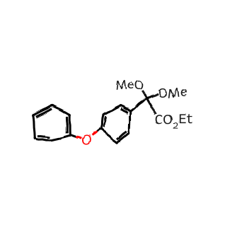 CCOC(=O)C(OC)(OC)c1ccc(Oc2ccccc2)cc1